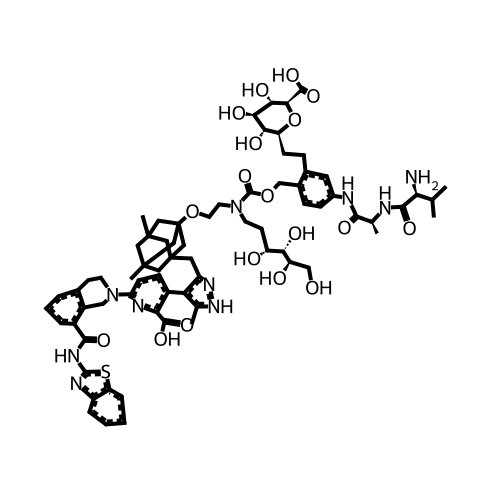 Cc1[nH]nc(CC23CC4(C)CC(C)(C2)CC(OCCN(CC[C@@H](O)[C@H](O)[C@H](O)CO)C(=O)OCc2ccc(NC(=O)[C@H](C)NC(=O)[C@@H](N)C(C)C)cc2CC[C@@H]2O[C@H](C(=O)O)[C@@H](O)[C@H](O)[C@H]2O)(C4)C3)c1-c1ccc(N2CCc3cccc(C(=O)Nc4nc5ccccc5s4)c3C2)nc1C(=O)O